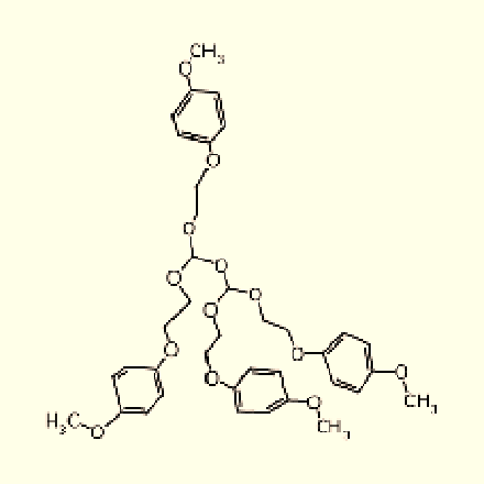 COc1ccc(OCCOC(OCCOc2ccc(OC)cc2)OC(OCCOc2ccc(OC)cc2)OCCOc2ccc(OC)cc2)cc1